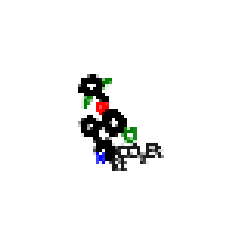 CCOC(=O)c1cc(C2=C(c3cc(Cl)ccc3OCc3c(F)cccc3F)CCC2)cnc1CC